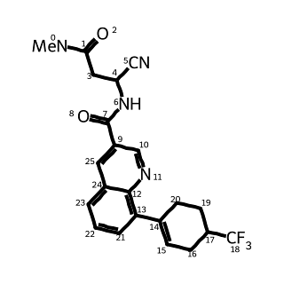 CNC(=O)CC(C#N)NC(=O)c1cnc2c(C3=CCC(C(F)(F)F)CC3)cccc2c1